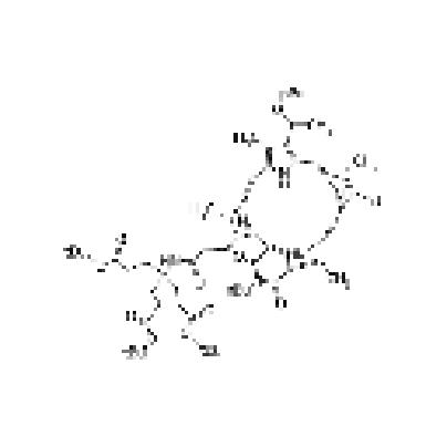 CCCCOC(C)c1c(C)c2cc3nc(c4c5[nH]c(cc6nc(cc1[nH]2)C(C)=C6CC)c(C)c5C(=O)N(CCCC)C4=O)[C@@H](CCC(=O)NC(CCC(=O)OC(C)(C)C)(CCC(=O)OC(C)(C)C)CCC(=O)OC(C)(C)C)[C@@H]3C